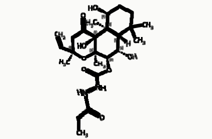 C=C[C@@]1(C)CC(=O)[C@]2(O)[C@@]3(C)[C@@H](O)CCC(C)(C)[C@@H]3[C@H](O)[C@@H](OC(=O)NNC(=O)CC)[C@@]2(C)O1